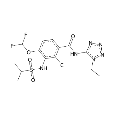 CCn1nnnc1NC(=O)c1ccc(OC(F)F)c(NS(=O)(=O)C(C)C)c1Cl